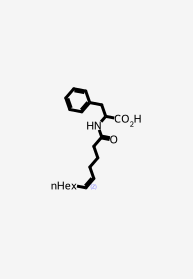 CCCCCC/C=C\CCCC(=O)NC(Cc1ccccc1)C(=O)O